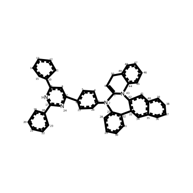 C1=C2N(c3ccc(-c4cc(-c5ccccc5)nc(-c5ccccc5)n4)cc3)c3ccccc3-c3cc4ccccc4cc3N2c2ccccc2C1